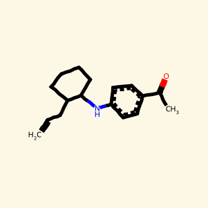 C=CCC1CCCCC1Nc1ccc(C(C)=O)cc1